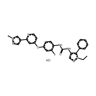 CCn1ncc(NC(=O)Nc2ccc(Oc3ccnc(-c4cnn(C)c4)c3)cc2F)c1-c1ccccc1.Cl